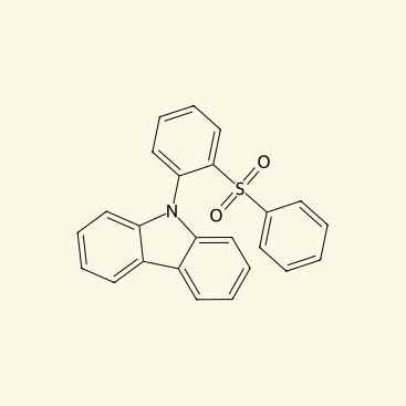 O=S(=O)(c1ccccc1)c1ccccc1-n1c2ccccc2c2ccccc21